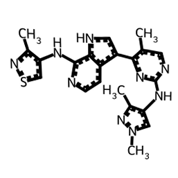 Cc1cnc(Nc2cn(C)nc2C)nc1-c1c[nH]c2c(Nc3csnc3C)nccc12